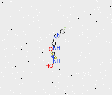 O=C(Nc1ccc(CN2CCN(c3ccc(F)cc3)CC2)cc1)c1cc2sc(NCCO)nc2s1